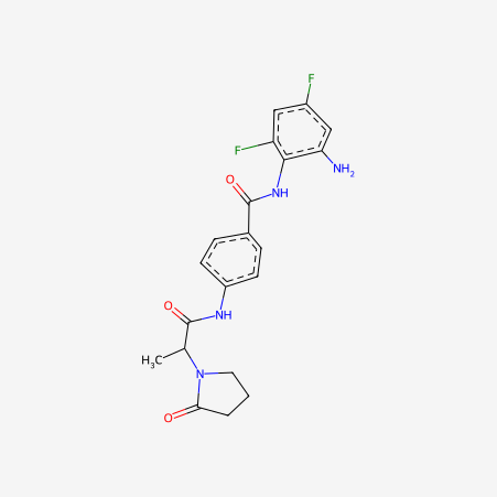 CC(C(=O)Nc1ccc(C(=O)Nc2c(N)cc(F)cc2F)cc1)N1CCCC1=O